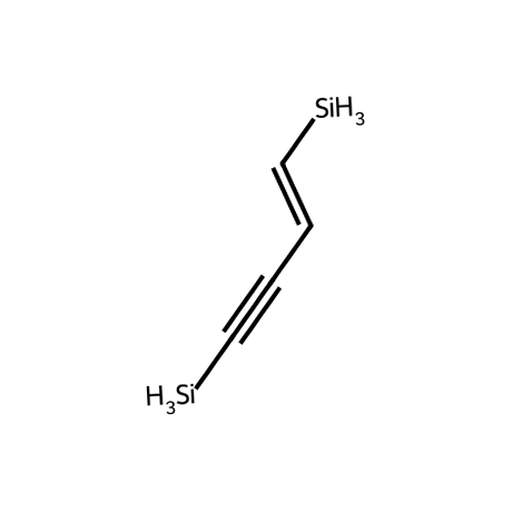 [SiH3]C#CC=C[SiH3]